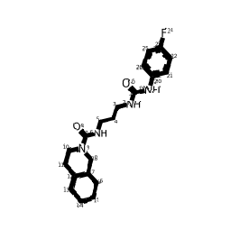 O=C(NCCCNC(=O)N1CCC2CCCCC2C1)Nc1ccc(F)cc1